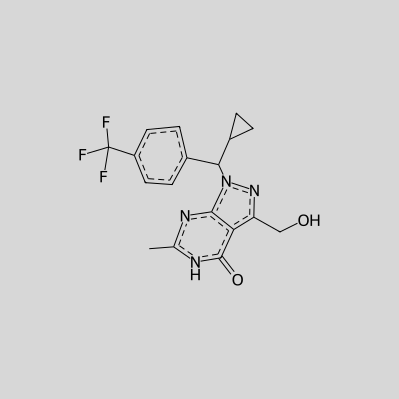 Cc1nc2c(c(CO)nn2C(c2ccc(C(F)(F)F)cc2)C2CC2)c(=O)[nH]1